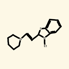 CCN1c2ccccc2SC1/C=C/N1CCCCC1